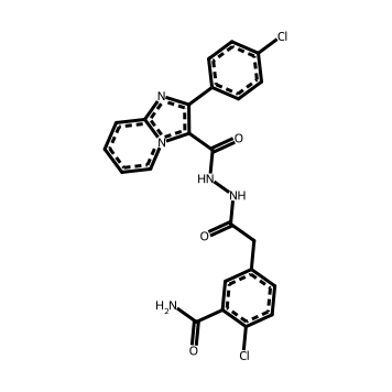 NC(=O)c1cc(CC(=O)NNC(=O)c2c(-c3ccc(Cl)cc3)nc3ccccn23)ccc1Cl